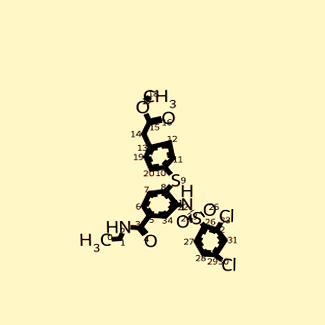 CCNC(=O)c1ccc(Sc2ccc(CC(=O)OC)cc2)c(NS(=O)(=O)c2ccc(Cl)cc2Cl)c1